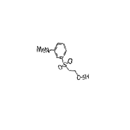 CNc1cccc(S(=O)(=O)CCOS)c1